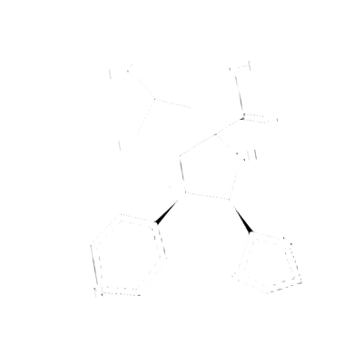 CC(C)C[C@@]1(C(=O)O)C[C@H](c2ccncc2)[C@H](c2nccs2)N1